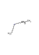 CCCCCCCC/C=C\CCCCCCCNC(=O)CCC